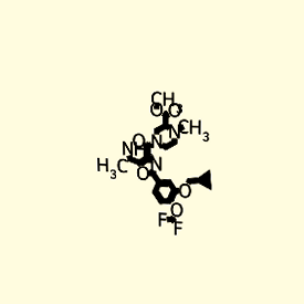 COC(=O)C1CN(C(=O)c2nc(-c3ccc(OC(F)F)c(OCC4CC4)c3)oc2[C@H](C)N)CCN1C